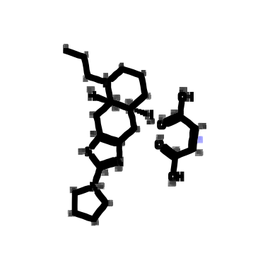 CCCN1CCC[C@H]2Cc3nc(N4CCCC4)sc3C[C@@H]21.O=C(O)/C=C\C(=O)O